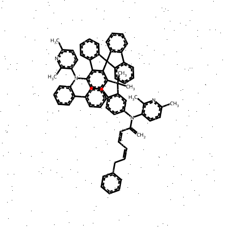 C=C(/C=C\C=C/Cc1ccccc1)N(c1ccc2c(c1)C(C)(C)c1c-2cc(N(c2ccccc2-c2ccccc2)c2ccc(C)nc2C)c2c1C1(c3ccccc3-c3ccccc31)c1ccccc1-2)c1ccc(C)nc1C